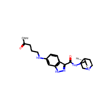 COC(=O)CCCNc1ccc2c(C(=O)N[C@@H]3CN4CCC3CC4)n[nH]c2c1